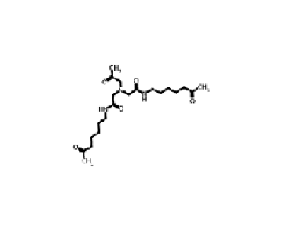 CC(=O)CCCCCNC(=O)CN(CC(C)=O)CC(=O)NCCCCCC(C)=O